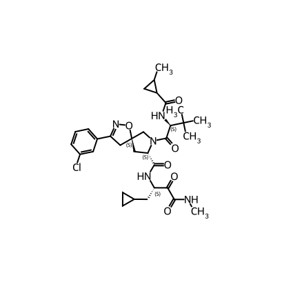 CNC(=O)C(=O)[C@H](CC1CC1)NC(=O)[C@@H]1C[C@]2(CC(c3cccc(Cl)c3)=NO2)CN1C(=O)[C@@H](NC(=O)C1CC1C)C(C)(C)C